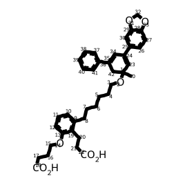 CC1(OCCCCCCc2cccc(OCCCC(=O)O)c2CCC(=O)O)C=C(c2ccc3c(c2)OCO3)C=C(c2ccccc2)C1